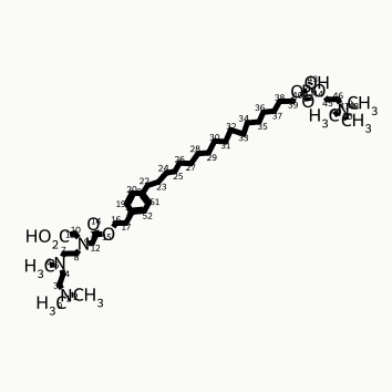 CN(C)CCN(C)CCN(CC(=O)O)CC(=O)OCCc1ccc(CCCCCCCCCCCCCCCCCCOP(=O)(O)OCC[N+](C)(C)C)cc1